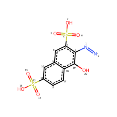 [N]=Nc1c(S(=O)(=O)O)cc2cc(S(=O)(=O)O)ccc2c1O